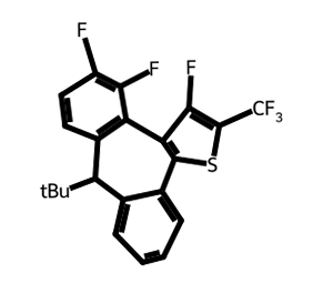 CC(C)(C)C1c2ccccc2-c2sc(C(F)(F)F)c(F)c2-c2c1ccc(F)c2F